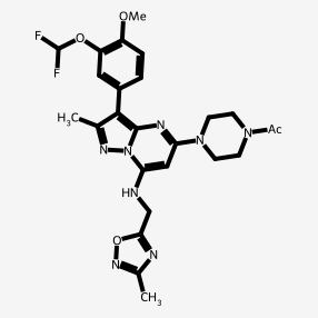 COc1ccc(-c2c(C)nn3c(NCc4nc(C)no4)cc(N4CCN(C(C)=O)CC4)nc23)cc1OC(F)F